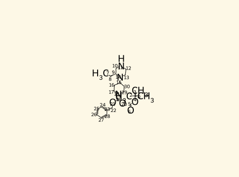 CC(C)(C)OC=O.CC[C@H]1CNCCN1C1CCN(C(=O)OCc2ccccc2)CC1